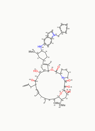 C=CCC1/C=C(\C)CC(C)CC(OC)C2OC(O)(C(=O)C(=O)N3CCCCC3C(=O)OC(C(C)=CC3CCC(Nc4ccc5c(ccn5Cc5ccccc5)c4)C(OC)C3)C(C)C(O)CC1=O)C(C)CC2OC